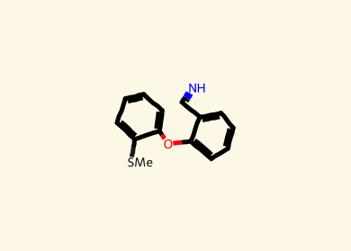 CSc1ccccc1Oc1ccccc1C=N